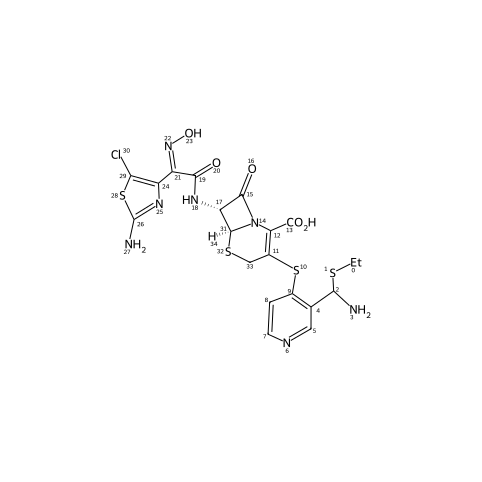 CCSC(N)c1cnccc1SC1=C(C(=O)O)N2C(=O)[C@@H](NC(=O)/C(=N\O)c3nc(N)sc3Cl)[C@@H]2SC1